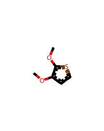 COc1ccsc1OC